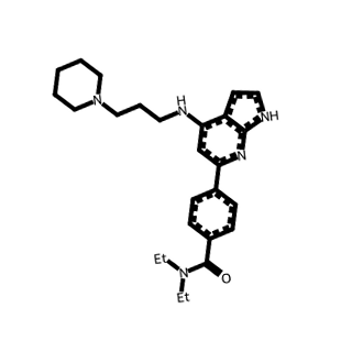 CCN(CC)C(=O)c1ccc(-c2cc(NCCCN3CCCCC3)c3cc[nH]c3n2)cc1